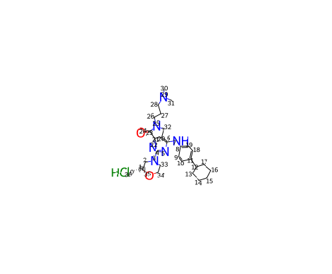 C[C@@H]1CN(c2nc(Nc3ccc(C4CCCCC4)cc3)c3c(n2)C(=O)N(CCCN(C)C)C3)CCO1.Cl